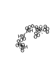 CC[C@H](C(=O)N1CCCC[C@H]1C(=O)O[C@H](CCc1ccc(OC)c(OC)c1)c1cccc(OCC(=O)NCCCCNC(=O)COc2cccc3c2CN(C2CCC(=O)NC2=O)C3=O)c1)c1cc(OC)c(OC)c(OC)c1